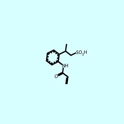 C=CC(=O)Nc1ccccc1C(C)CS(=O)(=O)O